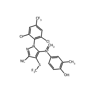 C=[N+](c1ccc(O)c(C)c1)c1c(SC(F)(F)F)c(C#N)nn1-c1c(Cl)cc(C(F)(F)F)cc1Cl